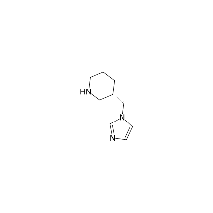 c1cn(C[C@H]2CCCNC2)cn1